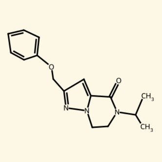 CC(C)N1CCn2nc(COc3ccccc3)cc2C1=O